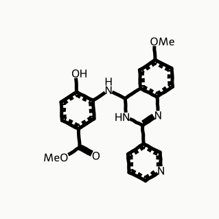 COC(=O)c1ccc(O)c(NC2NC(c3cccnc3)=Nc3ccc(OC)cc32)c1